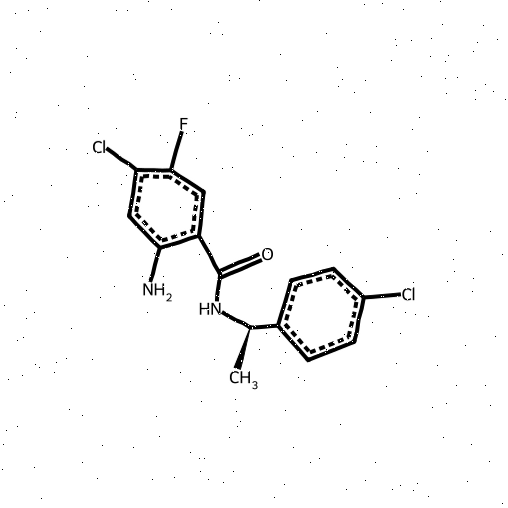 C[C@@H](NC(=O)c1cc(F)c(Cl)cc1N)c1ccc(Cl)cc1